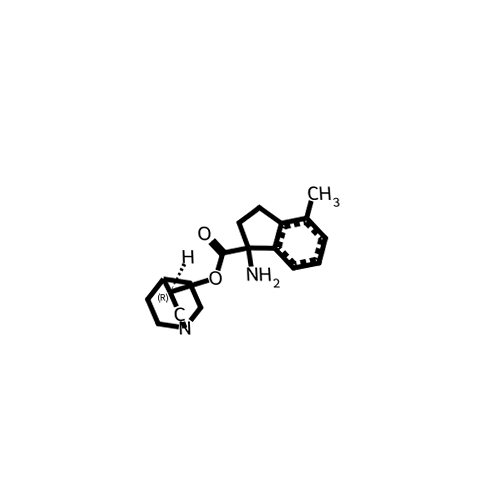 Cc1cccc2c1CCC2(N)C(=O)O[C@H]1CN2CCC1CC2